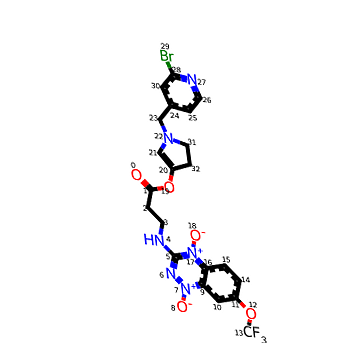 O=C(CCNc1n[n+]([O-])c2cc(OC(F)(F)F)ccc2[n+]1[O-])OC1=CN(Cc2ccnc(Br)c2)CC1